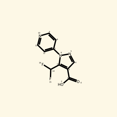 O=C(O)c1cnn(-c2ccncc2)c1C(F)F